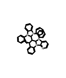 C=CC1c2ccccc2N2c3ncccc3N(c3ccccc3)C2C1C1N(c2ccccc2)c2ccccc2N1c1ccccc1C